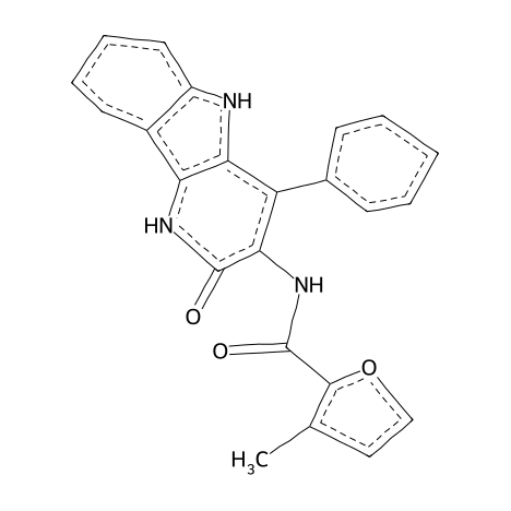 Cc1ccoc1C(=O)Nc1c(-c2ccccc2)c2[nH]c3ccccc3c2[nH]c1=O